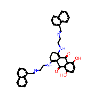 O=C1C2=C(NCCN=Cc3cccc4ccccc34)CCC(NCCN=Cc3cccc4ccccc34)=C2C(=O)c2c(O)ccc(O)c21